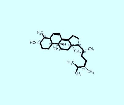 CC(C)[C@@H](C)CC[C@@H](C)[C@H]1CCC2=C3C=CC4[C@H](C)[C@@H](O)CC[C@]4(C)[C@H]3CC[C@@]21C